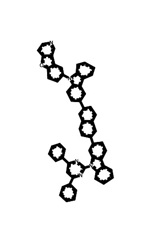 c1ccc(-c2cc(-c3ccccc3)nc(-n3c4ccccc4c4ccc(-c5ccc6cc(-c7ccc8c(c7)c7ccccc7n8-c7ccc8oc9ccncc9c8c7)ccc6c5)cc43)n2)cc1